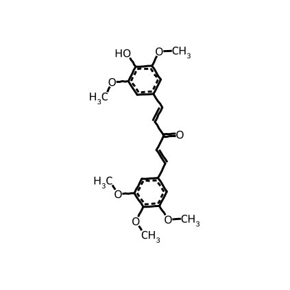 COc1cc(/C=C/C(=O)/C=C/c2cc(OC)c(OC)c(OC)c2)cc(OC)c1O